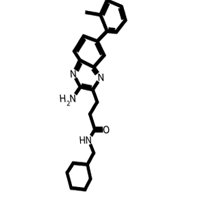 Cc1ccccc1-c1ccc2nc(N)c(CCC(=O)NCC3CCCCC3)nc2c1